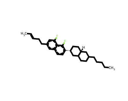 C/C=C/CCc1cc(F)c2c(F)c([C@@H]3CC[C@@H]4CC(CCCCC)CCC4C3)ccc2c1